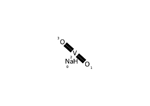 [NaH].[O]=[V]=[O]